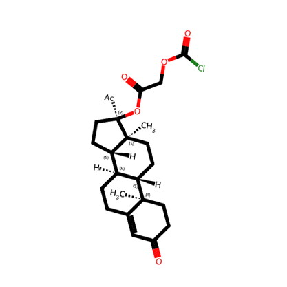 CC(=O)[C@@]1(OC(=O)COC(=O)Cl)CC[C@H]2[C@@H]3CCC4=CC(=O)CC[C@]4(C)[C@H]3CC[C@@]21C